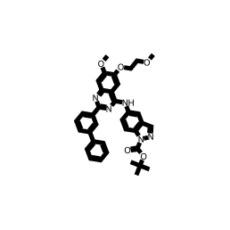 COCCOc1cc2c(Nc3ccc4c(cnn4C(=O)OC(C)(C)C)c3)nc(-c3cccc(-c4ccccc4)c3)nc2cc1OC